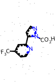 O=C(O)n1nccc1-c1cc(C(F)(F)F)ccn1